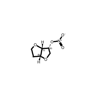 O=[N+]([O-])O[C@@H]1CO[C@@H]2[C]CO[C@@H]21